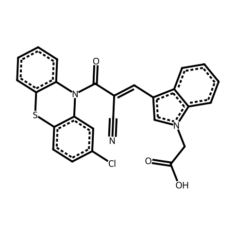 N#CC(=Cc1cn(CC(=O)O)c2ccccc12)C(=O)N1c2ccccc2Sc2ccc(Cl)cc21